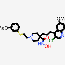 COc1cccc(SCCN2CCC(CCCc3c(Cl)cnc4ccc(OC)cc34)(C(=O)NO)CC2)c1